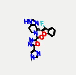 Cn1cnc(-c2nnc(C(=O)N3CCc4[nH]cnc4[C@@H]3c3oc4ccccc4c3F)o2)c1